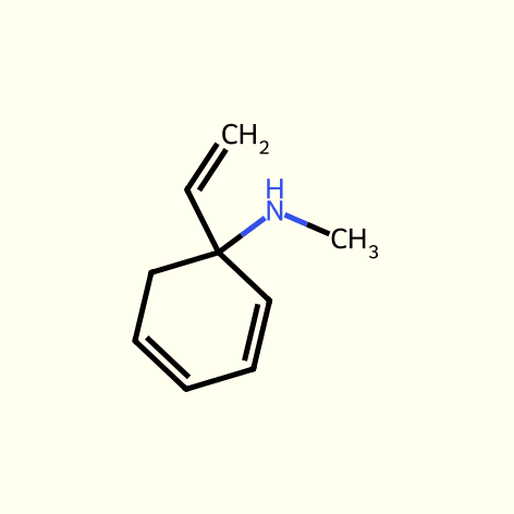 C=CC1(NC)C=CC=CC1